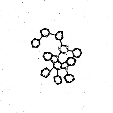 c1ccc(-c2cccc(-c3cccc(-c4nc(-c5ccccc5)nc(-n5c6ccccc6c6c(-c7ccccc7)c(-c7ccccc7)c7c(c8ccccc8n7-c7ccccc7)c65)n4)c3)c2)cc1